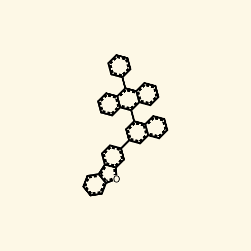 c1ccc(-c2c3ccccc3c(-c3cc(-c4ccc5c(c4)oc4ccccc45)cc4ccccc34)c3ccccc23)cc1